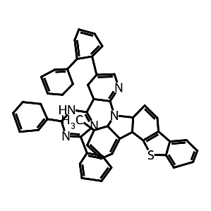 CC1C=CC=C2C3c4sc5ccccc5c4C=CC3N(C3=NC=C(c4ccccc4C4=CC=CCC4)CC3C3=NC(c4ccccc4)=NC(C4=CC=CCC4)N3)C21